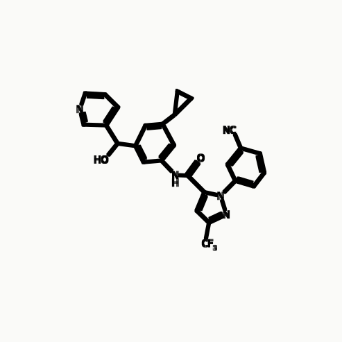 N#Cc1cccc(-n2nc(C(F)(F)F)cc2C(=O)Nc2cc(C3CC3)cc(C(O)c3cccnc3)c2)c1